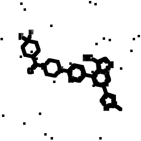 Cn1cc(-c2cc(-c3ccc(N4CCN(C(=O)C5CCC(F)(F)CC5)CC4)nc3)c3c(C#N)cnn3c2)cn1